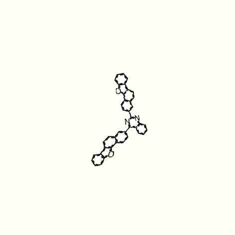 c1ccc2c(-c3ccc4c(ccc5c6ccccc6oc45)c3)nc(-c3ccc4c(ccc5c6ccccc6oc45)c3)nc2c1